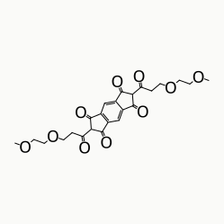 COCCOCCC(=O)C1C(=O)c2cc3c(cc2C1=O)C(=O)C(C(=O)CCOCCOC)C3=O